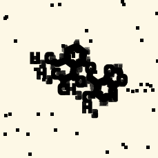 CCc1cccc(OCc2c(C)cnc3c2OCO3)c1C(=O)C(C)C